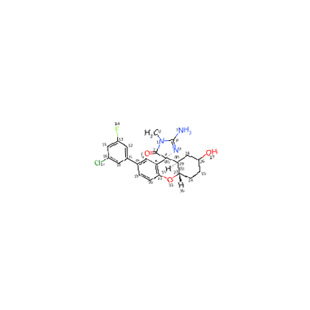 CN1C(=O)[C@]2(N=C1N)c1cc(-c3cc(F)cc(Cl)c3)ccc1O[C@H]1CCC(O)C[C@@H]12